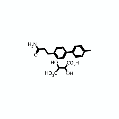 Cc1ccc(-c2ccc(CCC(N)=O)cc2)cc1.O=C(O)C(O)C(O)C(=O)O